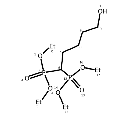 CCOP(=O)(OCC)C(CCCCO)P(=O)(OCC)OCC